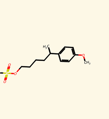 COc1ccc(C(C)CCCCOS(C)(=O)=O)cc1